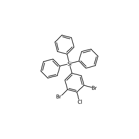 Clc1c(Br)cc([Si](c2ccccc2)(c2ccccc2)c2ccccc2)cc1Br